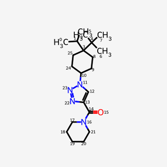 CC(C)C1(C(C)(C)C)CCC(n2cc(C(=O)N3CCCCC3)nn2)CC1